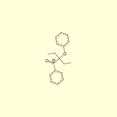 CCC(CC)(Oc1ccccc1)[PH](=O)c1ccccc1